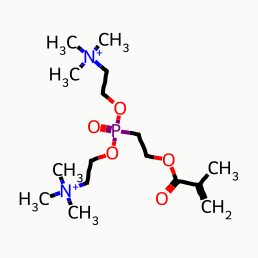 C=C(C)C(=O)OCCP(=O)(OCC[N+](C)(C)C)OCC[N+](C)(C)C